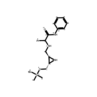 CC(C)C(NC[C@H]1N[C@@H]1CO[Si](C)(C)C(C)(C)C)C(=O)Nc1ccccc1